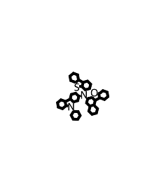 c1ccc(-n2c3ccccc3c3ccc(N(c4cc5ccccc5c5c4oc4ccccc45)c4cccc5c4sc4ccccc45)cc32)cc1